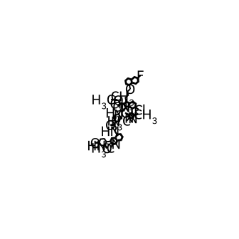 Cc1nc2cccc(NCC(=O)N3CCN(CCn4c(C(=O)OC(C)(C)C)c(CCCOc5cccc6cc(F)ccc56)c5ccc(Cl)c(-c6c(C)nn(C)c6C)c54)CC3)c2cc1C1CCC(=O)NC1=O